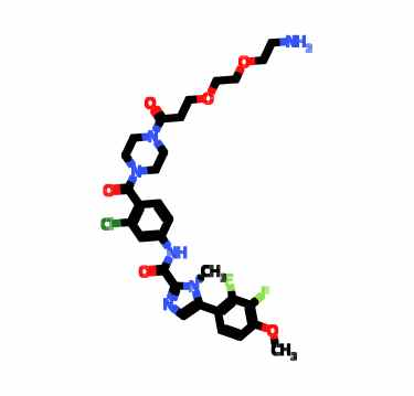 COc1ccc(-c2cnc(C(=O)Nc3ccc(C(=O)N4CCN(C(=O)CCOCCOCCN)CC4)c(Cl)c3)n2C)c(F)c1F